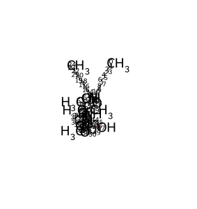 CCCCCCCCCCCCN(CCCCCCCCCCCC)C(=O)c1c(C)c(NS(=O)(=O)c2ccccc2N=Nc2ccc(O)c3cccc(NS(C)(=O)=O)c23)c(C)c(C)c1O